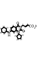 O=C(O)/C=C/Cn1c(=O)c2ccc(NC3CCCCC3)cc2n(C2CCCC2)c1=O